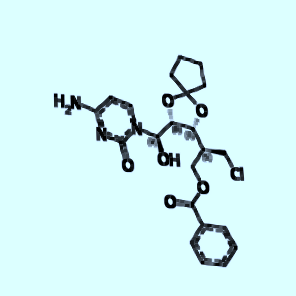 Nc1ccn([C@H](O)[C@@H]2OC3(CCCC3)O[C@@H]2[C@@H](CCl)COC(=O)c2ccccc2)c(=O)n1